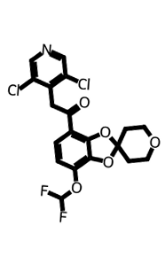 O=C(Cc1c(Cl)cncc1Cl)c1ccc(OC(F)F)c2c1OC1(CCOCC1)O2